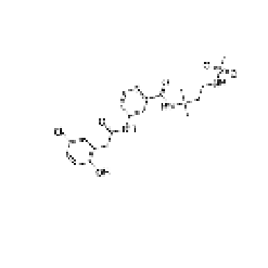 CC(C)(CCNS(C)(=O)=O)NC(=O)c1cc(NC(=O)Cc2cc(Cl)ccc2O)ccn1